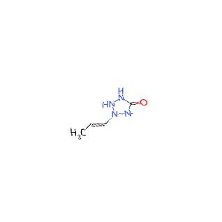 CC=CN1[N]C(=O)NN1